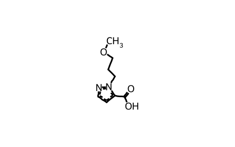 COCCCn1nccc1C(=O)O